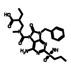 CCCS(=N)(=O)c1nc(N)c2c(n1)n(Cc1ccccc1)c(=O)n2C(=O)N(C)CC(CC)C(=O)O